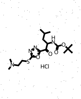 CC(C)CC(NC(=O)OC(C)(C)C)C(=O)c1nnc(SCCN(C)C)o1.Cl